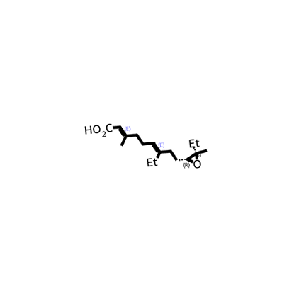 CC/C(=C\CC/C(C)=C/C(=O)O)CC[C@H]1O[C@@]1(C)CC